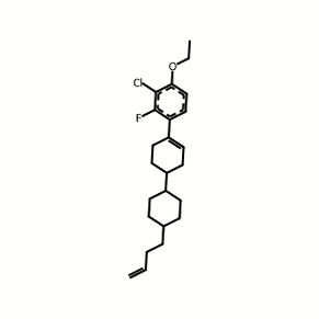 C=CCCC1CCC(C2CC=C(c3ccc(OCC)c(Cl)c3F)CC2)CC1